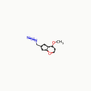 COc1ccoc2cc(CN=[N+]=[N-])cc1-2